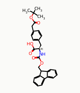 CC(C)(C)OC(=O)Cc1ccc(C[C@@H](NC(=O)OCC2c3ccccc3-c3ccccc32)C(=O)O)cc1